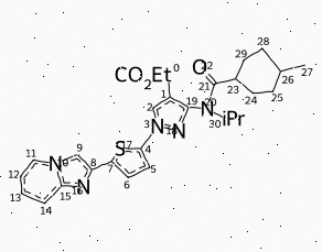 CCOC(=O)c1cn(-c2ccc(-c3cn4ccccc4n3)s2)nc1N(C(=O)C1CCC(C)CC1)C(C)C